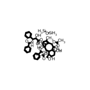 CC(=O)O[C@H]1C(=O)[C@@]2(C)[C@H]([C@H](OC(=O)c3ccccc3)[C@]3(O)C[C@H](OC(=O)[C@H](O)[C@@H](NC(=O)c4ccccc4)c4ccccc4)C(C)=C1C3(C)C)[C@]1(OC(C)=O)CO[C@@H]1C[C@@H]2O.[SiH3]O[SiH3]